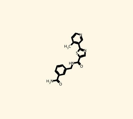 Cc1ccncc1-c1ncc(C(=O)NCc2cccc(C(N)=O)c2)s1